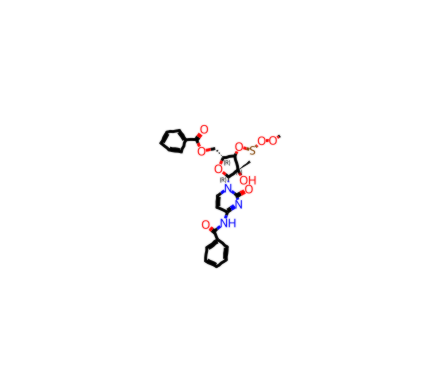 COOSOC1[C@@H](COC(=O)c2ccccc2)O[C@@H](n2ccc(NC(=O)c3ccccc3)nc2=O)[C@@]1(C)O